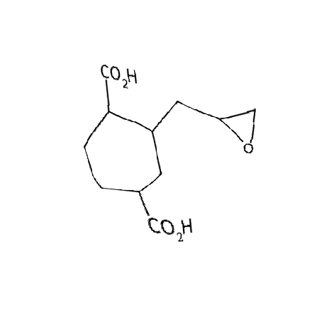 O=C(O)C1CCC(C(=O)O)C(CC2CO2)C1